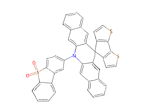 O=S1(=O)c2ccccc2-c2cc(N3c4cc5ccccc5cc4C4(c5cc6ccccc6cc53)c3ccsc3-c3sccc34)ccc21